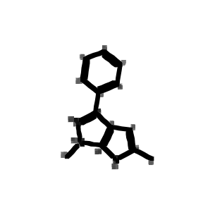 Cc1cc2c(-c3ccccc3)nn(C)c2s1